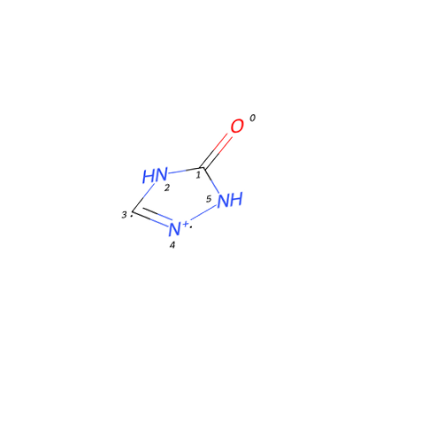 O=C1N[C]=[N+]N1